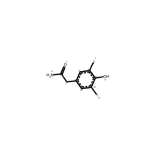 NC(=O)Cc1cc(I)c(O)c(I)c1